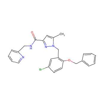 Cc1cc(C(=O)NCc2ccccn2)nn1Cc1cc(Br)ccc1OCc1ccccc1